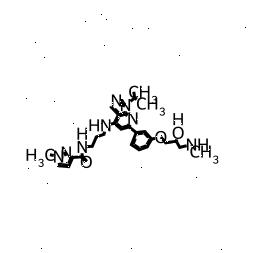 CNCC(O)COc1cccc(-c2cc(NCCCNC(=O)c3ccn(C)n3)c3cnn(C(C)C)c3n2)c1